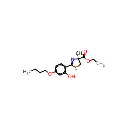 CCCCOc1ccc(C2=N[C@@](C)(C(=O)OCC)CS2)c(O)c1